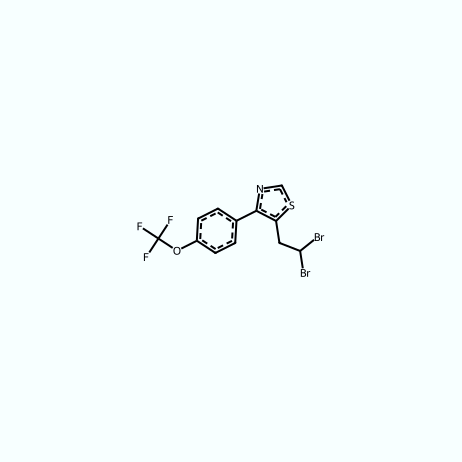 FC(F)(F)Oc1ccc(-c2ncsc2CC(Br)Br)cc1